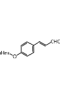 CCCCCCOc1ccc(C=C[C]=O)cc1